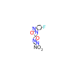 Cn1c(=O)n(CC2(C)Cn3cc([N+](=O)[O-])nc3O2)c2cc(F)ccc21